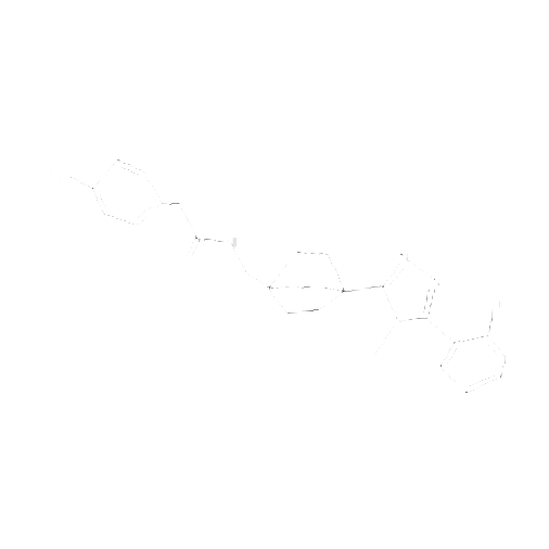 Cn1c(-c2ccccc2C(F)(F)F)nnc1C12CCC(CNC(=O)Cc3ccc(C(F)(F)F)cc3)(CC1)CC2